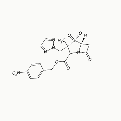 CC1(Cn2nccn2)C(C(=O)OCc2ccc([N+](=O)[O-])cc2)N2C(=O)C[C@H]2S1(=O)=O